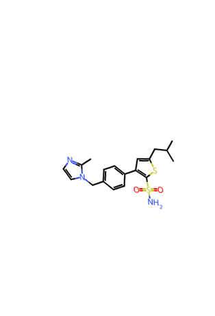 Cc1nccn1Cc1ccc(-c2cc(CC(C)C)sc2S(N)(=O)=O)cc1